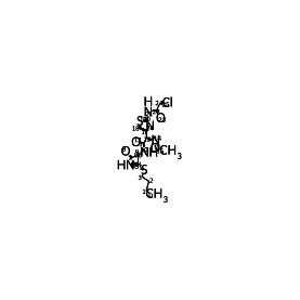 CCCCS[C@H]1NC(=O)[C@H]1NC(=O)C(=NOC)c1csc(NC(=O)CCl)n1